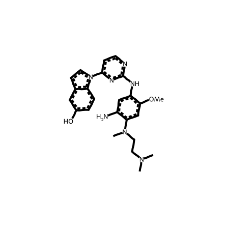 COc1cc(N(C)CCN(C)C)c(N)cc1Nc1nccc(-n2ccc3cc(O)ccc32)n1